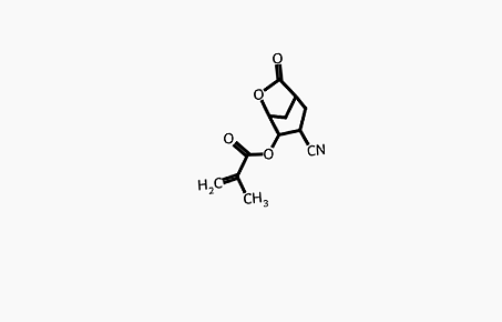 C=C(C)C(=O)OC1C(C#N)CC2CC1OC2=O